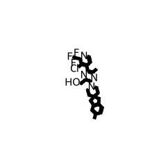 Cc1ccc2c(c1)CC1(CCN(c3nc(C)c(-c4ccnc(C(F)(F)F)c4Cl)nc3CO)CC1)C2